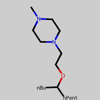 CCCCCC(CCCC)OCCN1CCN(C)CC1